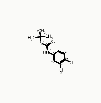 CC(C)(C)NC(=S)Nc1ccc(Cl)c(Cl)c1